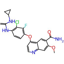 C=C(Nc1ccc(Oc2ccnc3cc(OC)c(C(N)=O)cc23)c(F)c1Cl)NC1CC1